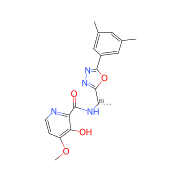 COc1ccnc(C(=O)N[C@@H](C)c2nnc(-c3cc(C)cc(C)c3)o2)c1O